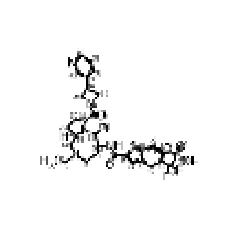 CCN1CC[C@H](NC(=O)c2cc3cc(C(F)(F)P(=O)(O)O)ccc3s2)C(=O)N2[C@H](CC[C@H]2C(=O)N2CC(c3cccnc3)C2)C1